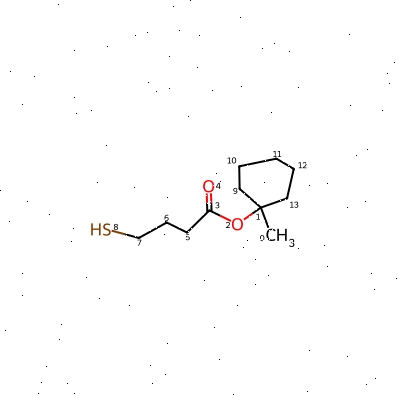 CC1(OC(=O)CCCS)CCCCC1